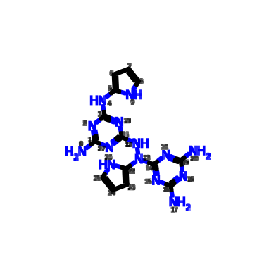 Nc1nc(Nc2ccc[nH]2)nc(NN(c2nc(N)nc(N)n2)c2ccc[nH]2)n1